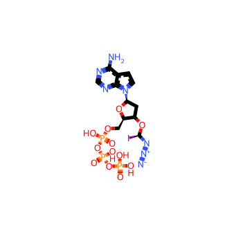 [N-]=[N+]=N[C@@H](I)OC1C[C@H](n2ccc3c(N)ncnc32)O[C@@H]1COP(=O)(O)OP(=O)(O)OP(=O)(O)O